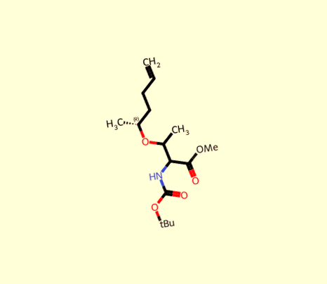 C=CCC[C@@H](C)OC(C)C(NC(=O)OC(C)(C)C)C(=O)OC